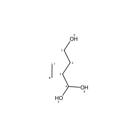 OCCCC(O)O.[CH2]C